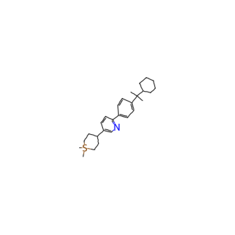 CC(C)(c1ccc(-c2ccc(C3CCS(C)(C)CC3)cn2)cc1)C1CCCCC1